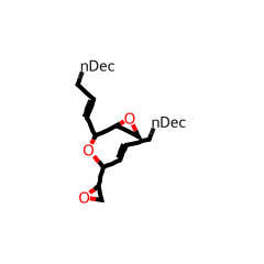 CCCCCCCCCCCC=CC(OC(C=CCCCCCCCCCCC)C1CO1)C1CO1